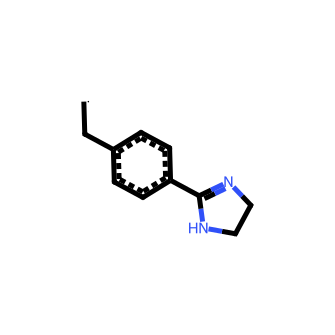 [CH2]Cc1ccc(C2=NCCN2)cc1